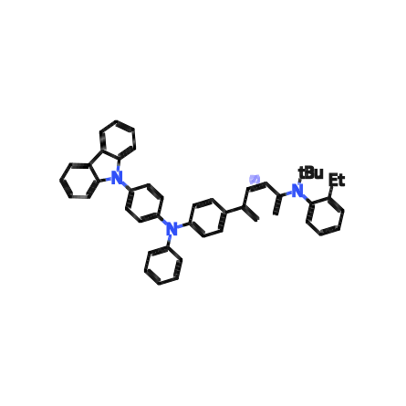 C=C(/C=C\C(=C)N(c1ccccc1CC)C(C)(C)C)c1ccc(N(c2ccccc2)c2ccc(-n3c4ccccc4c4ccccc43)cc2)cc1